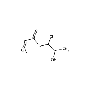 C=CC(=O)OC(Cl)C(C)O